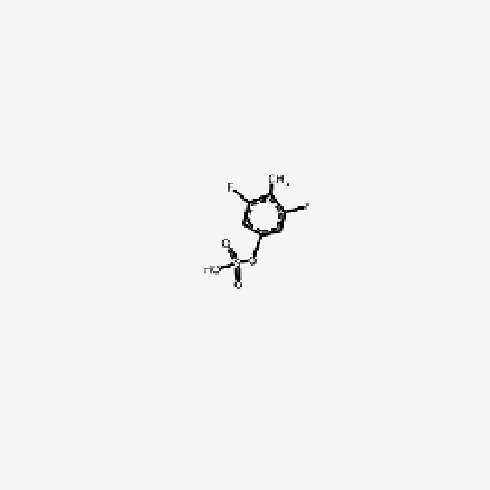 Cc1c(F)cc(OS(=O)(=O)O)cc1F